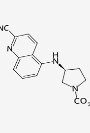 N#Cc1ccc2c(N[C@H]3CCN(C(=O)O)C3)cccc2n1